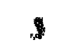 C[C@H](CC(=O)C(F)(F)F)[C@H]1CCC2C3CC[C@H]4C[C@@](C)(O)CC[C@]4(C)C3CC[C@@]21C